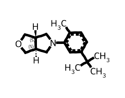 Cc1ccc(C(C)(C)C)cc1N1C[C@H]2COC[C@@H]2C1